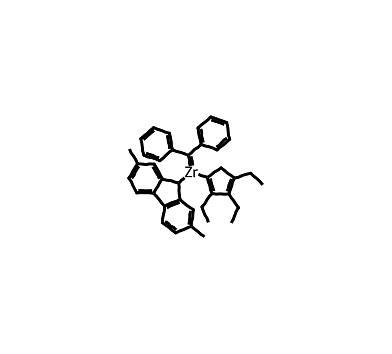 CCC1=C(CC)C(CC)=[C]([Zr](=[C](c2ccccc2)c2ccccc2)[CH]2c3cc(C)ccc3-c3ccc(C)cc32)C1